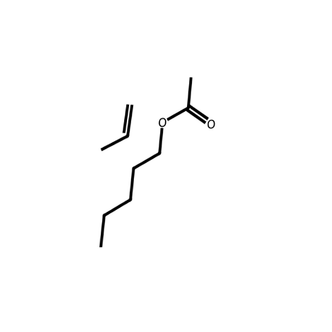 C=CC.CCCCCOC(C)=O